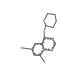 Clc1cc(I)c2ncnc(OC3CCCCO3)c2c1